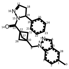 Cc1ccc2c(cnn2CC23CC(C(=O)N4N=CCC4c4ccccc4)(C2)C3)c1